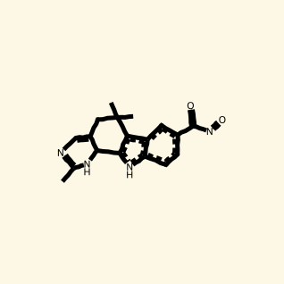 CC1=NC=C2CC(C)(C)c3c([nH]c4ccc(C(=O)N=O)cc34)C2N1